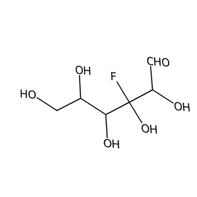 O=CC(O)C(O)(F)C(O)C(O)CO